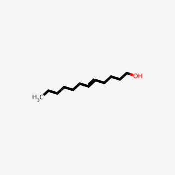 CCCCCCC=CCCCCO